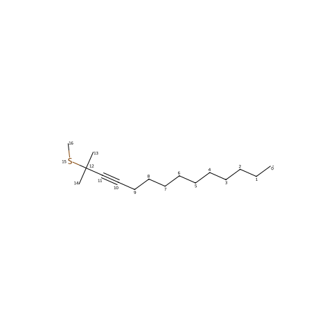 [CH2]CCCCCCCCCC#CC(C)(C)SC